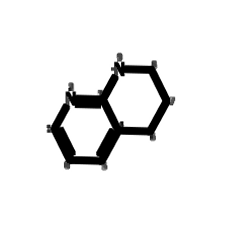 c1cnc2c(c1)CCC[N]2